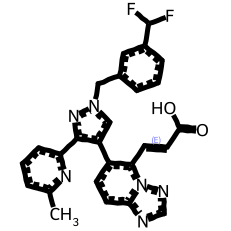 Cc1cccc(-c2nn(Cc3cccc(C(F)F)c3)cc2-c2ccc3ncnn3c2/C=C/C(=O)O)n1